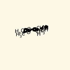 Cc1ccc(S(=O)(=O)CCc2ccc(C(C)(C)NCC(O)Cn3ccnc3)cc2)cc1C